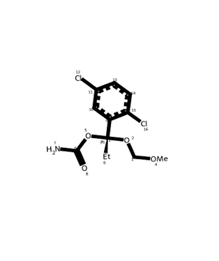 CC[C@@](OCOC)(OC(N)=O)c1cc(Cl)ccc1Cl